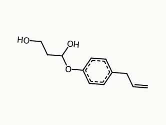 C=CCc1ccc(OC(O)CCO)cc1